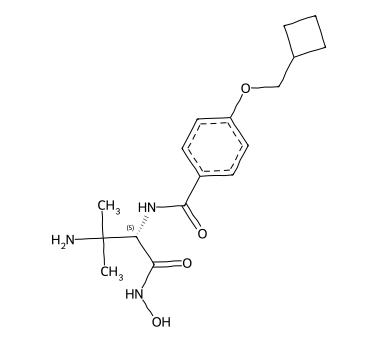 CC(C)(N)[C@H](NC(=O)c1ccc(OCC2CCC2)cc1)C(=O)NO